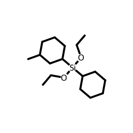 CCO[Si](OCC)(C1CCCCC1)C1CCCC(C)C1